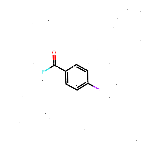 O=C(F)c1ccc(I)cc1